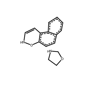 C1=Cc2c(ccc3ccccc23)ON1.C1COCN1